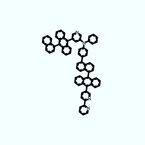 c1ccc(N(c2ccc(-c3cccc4c(-c5c6ccccc6c(-c6ccc(-c7ccccn7)nc6)c6ccccc56)cccc34)cc2)c2cncc(-c3c4ccccc4c(-c4cccc5ccccc45)c4ccccc34)c2)cc1